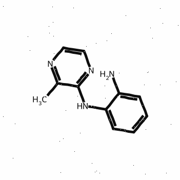 Cc1nccnc1Nc1ccccc1N